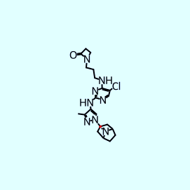 Cc1nn(C2CC3CCC(C2)N3C)cc1Nc1ncc(Cl)c(NCCCN2CCC2=O)n1